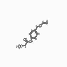 CCC(=O)Oc1ccc(CO[C]=O)cc1